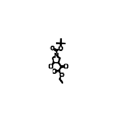 CCOC(=O)C(=O)C1CN(C(=O)OC(C)(C)C)CC1=O